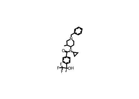 CC1CN(Cc2ccccc2)CCC1N(C(=O)c1ccc([C@](C)(O)C(F)(F)F)cc1)C1CC1